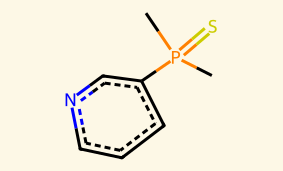 CP(C)(=S)c1cccnc1